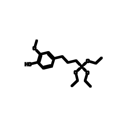 CCO[Si](CCCc1ccc(O)c(OC)c1)(OCC)OCC